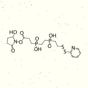 O=C(CCP(=O)(O)CCP(=O)(O)CCSSc1ccccn1)ON1C(=O)CCC1O